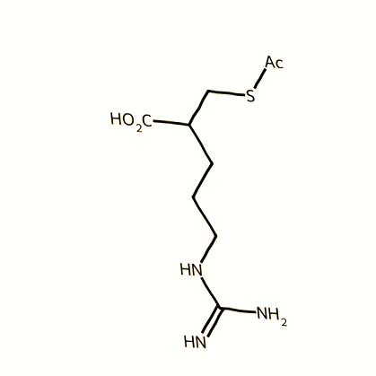 CC(=O)SCC(CCCNC(=N)N)C(=O)O